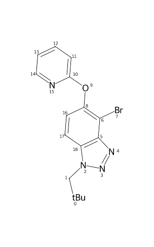 CC(C)(C)Cn1nnc2c(Br)c(Oc3ccccn3)ccc21